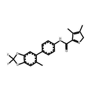 CC1=C(C)C(C(=O)Nc2ccc(-c3cc4c(cc3C)OC(F)(F)O4)cc2)=NC1